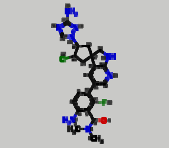 CN(C)C(=O)c1c(N)ccc(-c2cnc3c(c2)C2(CN3)CC(Cl)C(n3cnc(N)n3)C2)c1F